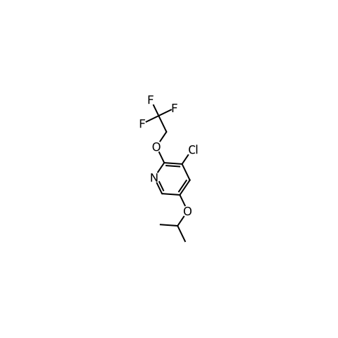 CC(C)Oc1cnc(OCC(F)(F)F)c(Cl)c1